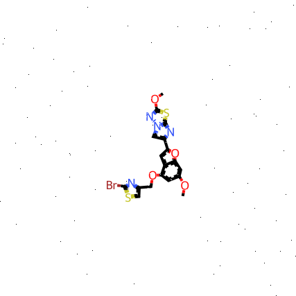 COc1cc(OCc2csc(Br)n2)c2cc(-c3cn4nc(OC)sc4n3)oc2c1